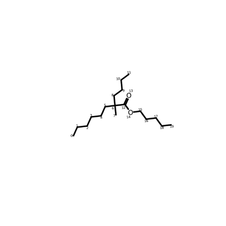 CCCCCCC(C)(CCCC)C(=O)OCCCCC